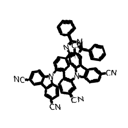 N#Cc1ccc(-c2cc(-c3nc(-c4ccccc4)nc(-c4ccccc4)n3)ccc2-n2c3ccc(C#N)cc3c3cc(C#N)ccc32)c(-n2c3ccc(C#N)cc3c3cc(C#N)ccc32)c1